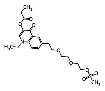 CCC(=O)Oc1cn(CC)c2ccc(CCOCCOCCOS(C)(=O)=O)cc2c1=O